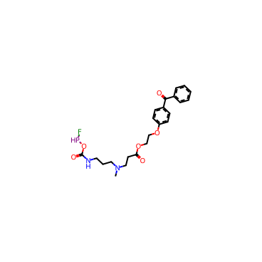 CN(CCCNC(=O)OPF)CCC(=O)OCCOc1ccc(C(=O)c2ccccc2)cc1